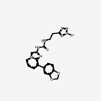 CCn1nnc(CCNC(=O)Nc2cn3cccc(-c4ccc5c(c4)OCO5)c3n2)n1